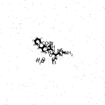 CCO/N=C(\C(=O)NC1C(=O)N2C(C(=O)[O-])=C(C[n+]3ccccc3)CS[C@H]12)c1nsc(N)n1.O.O